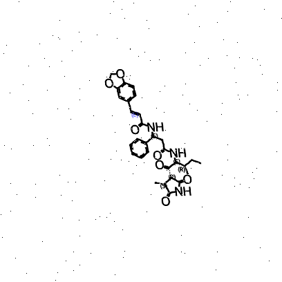 CC[C@@H](C)[C@H](NC(=O)C[C@H](NC(=O)/C=C/c1ccc2c(c1)OCO2)c1ccccc1)C(=O)[C@@H]1C(=O)NC(=O)[C@H]1C